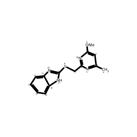 COc1cc(C)nc(CSc2nc3ccccc3[nH]2)n1